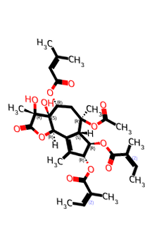 C/C=C(/C)C(=O)O[C@H]1[C@H](OC(=O)/C(C)=C\C)C(C)=C2[C@H]3OC(=O)[C@](C)(O)[C@]3(O)[C@H](OC(=O)C=C(C)C)C[C@@](C)(OC(C)=O)[C@@H]21